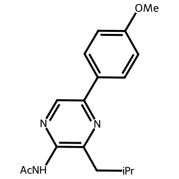 COc1ccc(-c2cnc(NC(C)=O)c(CC(C)C)n2)cc1